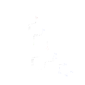 Cn1nnnc1/C(=N/OCc1nc(Br)ccc1F)c1ccccc1